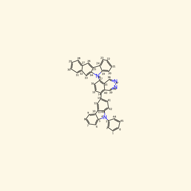 c1ccc(-n2c3ccccc3c3cc(-c4ccc(-n5c6ccccc6c6cc7ccccc7cc65)c5cnncc45)ccc32)cc1